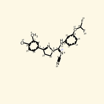 Cc1cc(C2=NN(/C(=N\C#N)Nc3cccc(OC(F)F)c3)CC2)ccc1Cl